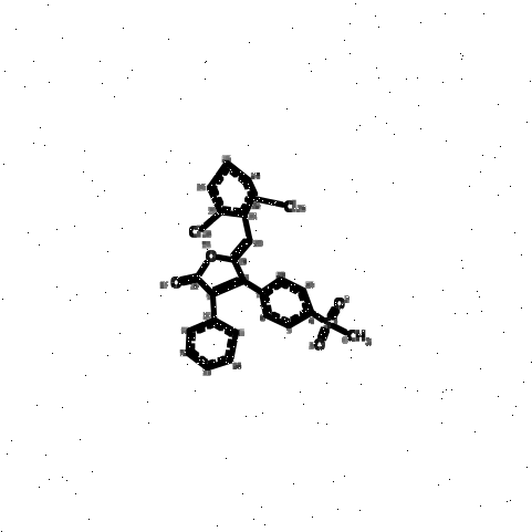 CS(=O)(=O)c1ccc(C2=C(c3ccccc3)C(=O)O/C2=C\c2c(Cl)cccc2Cl)cc1